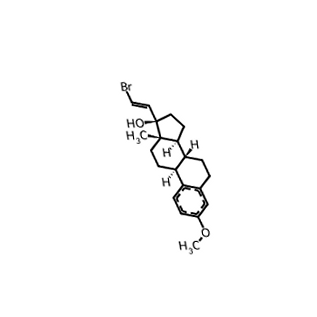 COc1ccc2c(c1)CC[C@@H]1[C@@H]2CC[C@@]2(C)[C@H]1CC[C@@]2(O)/C=C/Br